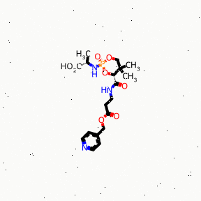 C[C@H](NP1(=O)OCC(C)(C)[C@H](C(=O)NCCC(=O)OCc2ccncc2)O1)C(=O)O